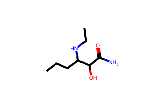 CCCC(NCC)C(O)C(N)=O